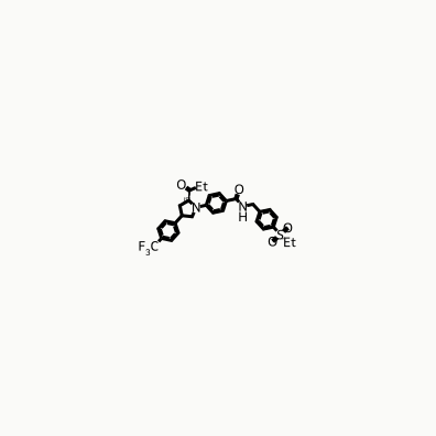 CCC(=O)[C@@H]1CC(c2ccc(C(F)(F)F)cc2)CN1c1ccc(C(=O)NCc2ccc(S(=O)(=O)CC)cc2)cc1